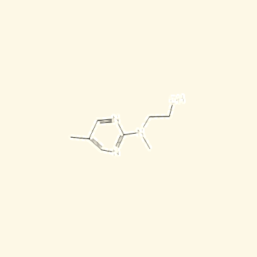 Cc1cnc(N(C)CCO)nc1